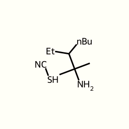 CCCCC(CC)C(C)(C)N.N#CS